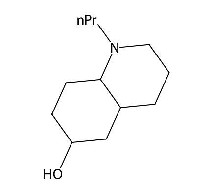 CCCN1CCCC2CC(O)CCC21